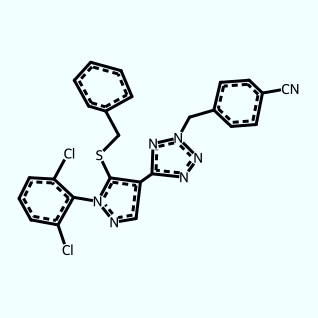 N#Cc1ccc(Cn2nnc(-c3cnn(-c4c(Cl)cccc4Cl)c3SCc3ccccc3)n2)cc1